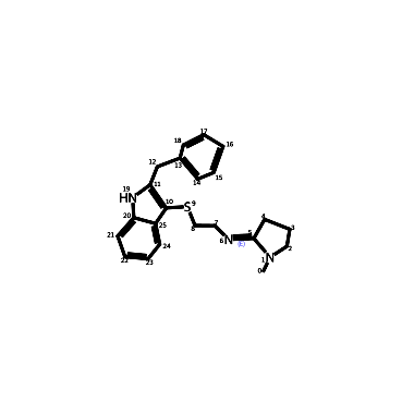 CN1CCC/C1=N\CCSc1c(Cc2ccccc2)[nH]c2ccccc12